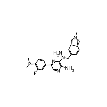 Cn1cc2cc(CN(N)c3nc(-c4ccc(P(C)C)c(F)c4)cnc3N)ccc2n1